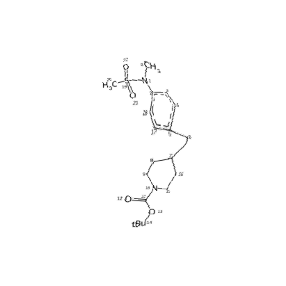 CN(c1ccc(CC2CCN(C(=O)OC(C)(C)C)CC2)cc1)S(C)(=O)=O